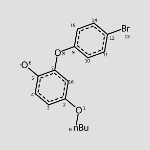 CCCCOc1ccc([O])c(Oc2ccc(Br)cc2)c1